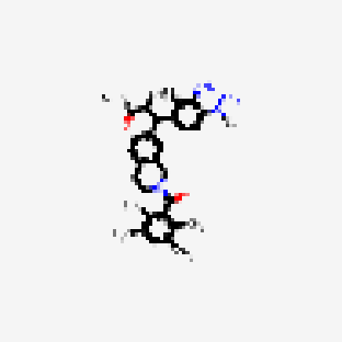 CCN(N)c1ccc(C(c2ccc3c(c2)CN(C(=O)c2c(C)c(C)cc(C)c2C)CC3)C(C)C(=O)OC)c(C)c1N